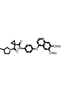 COc1cc2nccc(Oc3ccc(NC(=O)C4(C(=O)N5CCC(C)C5)CC4)cc3)c2cc1OC